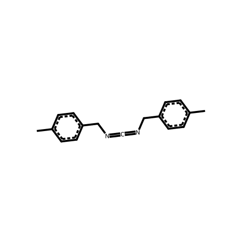 Cc1ccc(CN=C=NCc2ccc(C)cc2)cc1